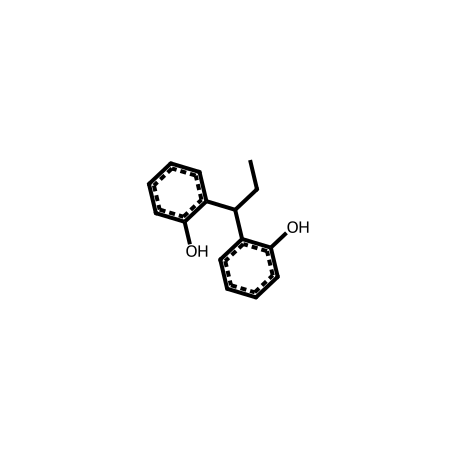 CCC(c1ccccc1O)c1ccccc1O